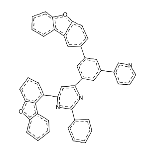 c1ccc(-c2nc(-c3cc(-c4cccnc4)cc(-c4ccc5oc6ccccc6c5c4)c3)cc(-c3cccc4oc5ccccc5c34)n2)cc1